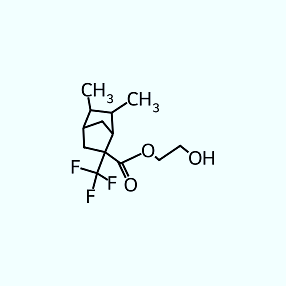 CC1C2CC(C1C)C(C(=O)OCCO)(C(F)(F)F)C2